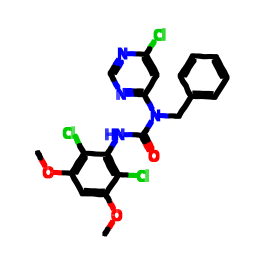 COc1cc(OC)c(Cl)c(NC(=O)N(Cc2ccccc2)c2cc(Cl)ncn2)c1Cl